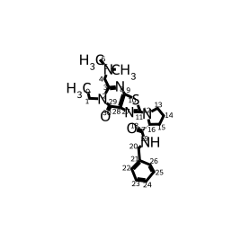 CCn1c(CN(C)C)nc2sc(N3CCC[C@@H]3C(=O)NCc3ccccc3)nc2c1=O